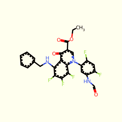 CCOC(=O)c1cn(-c2cc(NC=O)c(F)cc2F)c2c(F)c(F)c(F)c(NCc3ccccc3)c2c1=O